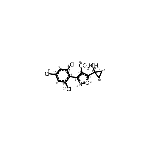 CC1(c2onc(-c3c(Cl)cc(Cl)cc3Cl)c2C(=O)O)CC1